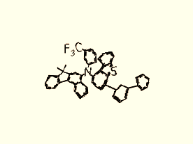 CC1(C)c2ccccc2-c2c1cc(N(c1cccc(C(F)(F)F)c1)c1ccc(C3C=CC=C(c4ccccc4)C3)c3sc4ccccc4c13)c1ccccc21